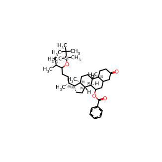 CC(C)C(CC[C@@H](C)[C@H]1CC[C@H]2[C@@H]3C(OC(=O)c4ccccc4)CC4CC(=O)CC[C@]4(C)[C@H]3CC[C@]12C)O[Si](C)(C)C(C)(C)C